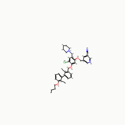 CCCCOc1cccc(-c2cccc(COc3cc(OCc4cncc(C#N)c4)c(CN4CCCCC4)cc3Cl)c2C)c1C